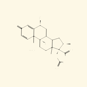 CCCC(=O)O[C@]1(C(=O)S)[C@H](C)CC2C3C[C@H](F)C4=CC(=O)C=CC4(C)[C@@]3(F)[C@@H](O)CC21C